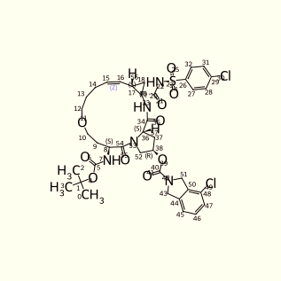 CC(C)(C)OC(=O)N[C@H]1CCOCCC/C=C\[C@@H]2C[C@@]2(C(=O)NS(=O)(=O)c2ccc(Cl)cc2)NC(=O)[C@@H]2C[C@@H](OC(=O)N3Cc4cccc(Cl)c4C3)CN2C1=O